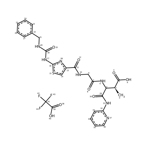 C[C@H](C(=O)O)C(NC(=O)CNC(=O)c1csc(NC(=O)NCc2ccccc2)n1)C(=O)Nc1ccccn1.O=C(O)C(F)(F)F